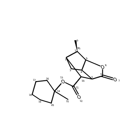 C[C@@H]1C2CC3C(C(=O)OC31)C2C(=O)OC1(C)CCCCC1